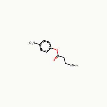 CCCCCCCCCCCC(=O)Oc1ccc([N+](=O)[O-])cc1